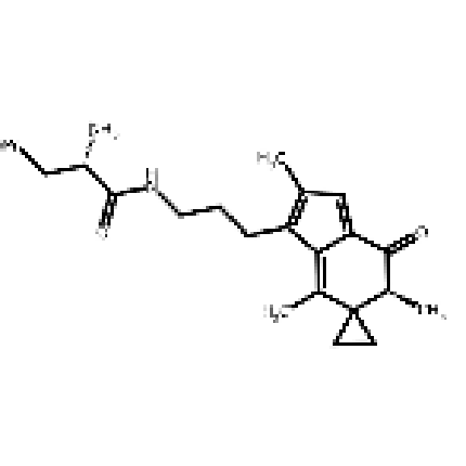 CC1=C(CCCNC(=O)[C@@H](N)CC(C)C)C2=C(C)C3(CC3)[C@H](C)C(=O)C2=C1